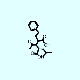 CC(=O)C(C(CCc1ccccc1)C(=O)O)[C@@H](CC(C)C)C(=O)O